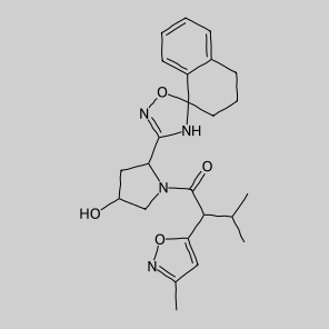 Cc1cc(C(C(=O)N2CC(O)CC2C2=NOC3(CCCc4ccccc43)N2)C(C)C)on1